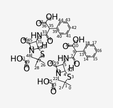 CC1(C)S[C@@H]2[C@H](NC(=O)C(C(=O)O)c3ccccc3)C(=O)N2[C@H]1C(=O)O.CC1(C)S[C@@H]2[C@H](NC(=O)C(C(=O)O)c3ccccc3)C(=O)N2[C@H]1C(=O)O